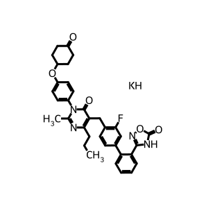 CCCc1nc(C)n(-c2ccc(OC3CCC(=O)CC3)cc2)c(=O)c1Cc1ccc(-c2ccccc2-c2noc(=O)[nH]2)cc1F.[KH]